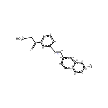 O=C(O)CC(=O)c1cccc(/C=C/c2ccc3ccc(Cl)cc3n2)c1